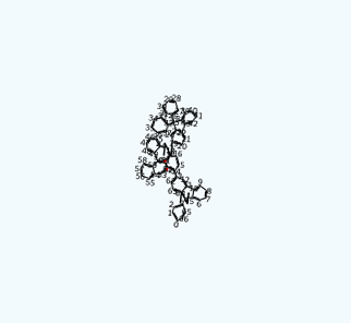 c1ccc(-n2c3ccccc3c3cc(-c4ccc(N(c5ccc6c(c5)C(c5ccccc5)(c5ccccc5)c5ccccc5-6)c5ccccc5-c5cccc6ccccc56)cc4)ccc32)cc1